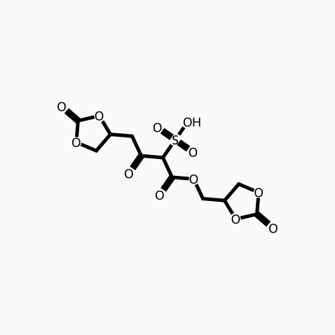 O=C1OCC(COC(=O)C(C(=O)CC2COC(=O)O2)S(=O)(=O)O)O1